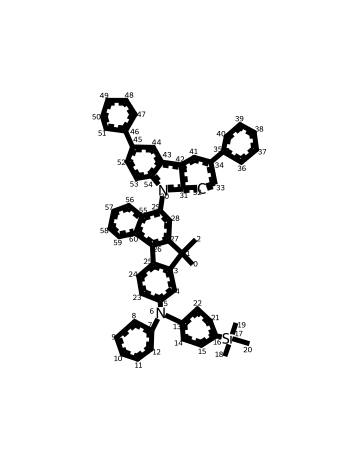 CC1(C)c2cc(N(c3ccccc3)c3ccc([Si](C)(C)C)cc3)ccc2-c2c1cc(-n1c3ccc(-c4ccccc4)cc3c3cc(-c4ccccc4)ccc31)c1ccccc21